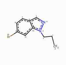 FC(F)(F)CCn1ncc2ccc(Br)cc21